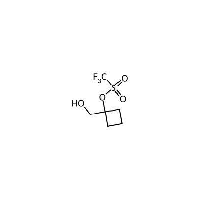 O=S(=O)(OC1(CO)CCC1)C(F)(F)F